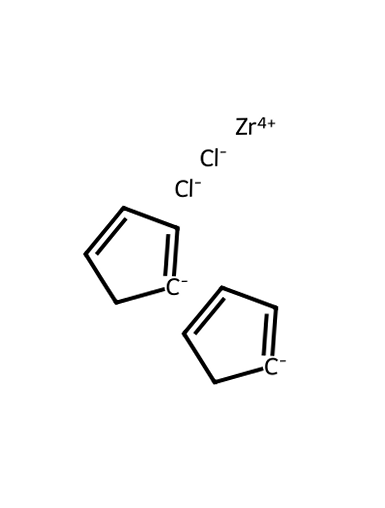 [C-]1=CC=CC1.[C-]1=CC=CC1.[Cl-].[Cl-].[Zr+4]